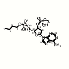 CCCCOP(=O)(O)OC[C@H]1O[C@@H](n2cnc3c(N)ncnc32)CC1OP(=O)(O)OC